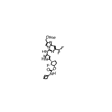 COCc1cn2c(Nc3cc([C@H]4CC[C@@H](OC(=O)NC56CC(C5)C6)[C@@H]4F)[nH]n3)nc(C(F)F)cc2n1